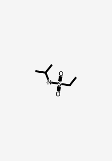 CCS(=O)(=O)[N]C(C)C